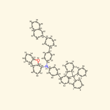 c1ccc(C2(c3ccccc3)c3ccccc3-c3c(-c4ccc(N(c5ccc(-c6cccc(-c7ccc8ccccc8c7)c6)cc5)c5cccc6c5oc5ccccc56)cc4)cccc32)cc1